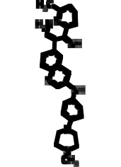 Cc1cccc(C(=N)/C(=C\N)c2ccc3ncc(Nc4ccc(N5CCN(C)CC5)cc4)cc3c2)n1